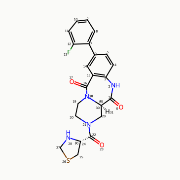 O=C1Nc2ccc(-c3ccccc3F)cc2C(=O)N2CCN(C(=O)[C@@H]3CSCN3)C[C@H]12